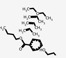 C=CC.C=CC.C=CC.CCCCOC(=O)c1ccccc1.CCOCC.OCCO